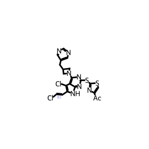 CC(=O)c1csc(Sc2nc(N3CC(Cc4cncnc4)C3)c3c(Cl)c(/C=C/Cl)[nH]c3n2)n1